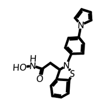 O=C(CC1c2ccccc2SN1c1ccc(-n2cccc2)cc1)NO